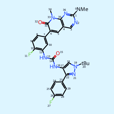 CNc1ncc2cc(-c3ccc(F)c(NC(=O)Nc4cn(C(C)(C)C)nc4-c4ccc(F)cc4)c3)c(=O)n(C)c2n1